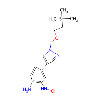 C[Si](C)(C)CCOCn1cc(-c2ccc(N)c(NO)c2)cn1